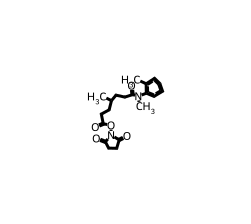 Cc1ccccc1N(C)C(=O)CCC(C)CCC(=O)ON1C(=O)CCC1=O